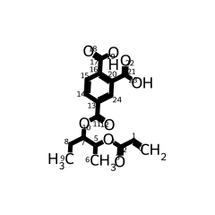 C=CC(=O)OC(C)C(CC)OC(=O)c1ccc(C(=O)O)c(C(=O)O)c1